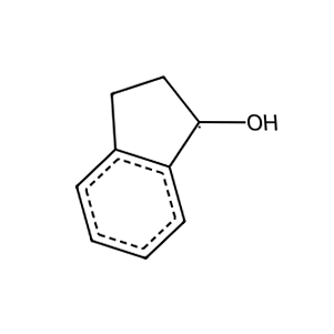 O[C]1CCc2ccccc21